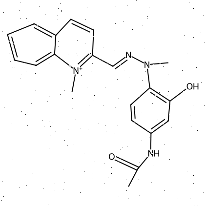 CC(=O)Nc1ccc(N(C)/N=C/c2ccc3ccccc3[n+]2C)c(O)c1